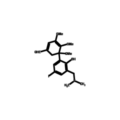 COC1=C(OC)C(OC)(c2cc(I)cc(CN(C)C)c2O)CC(C=O)=C1